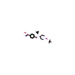 COC1CN(C(=O)OC(C)(C)C)CCC1N(C(=O)c1ccc(-c2cnco2)cc1)C1CC1